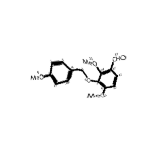 COc1ccc(COc2c(OC)ccc(C=O)c2OC)cc1